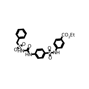 CCOC(=O)c1ccc(NS(=O)(=O)c2ccc(NC(=O)NS(=O)(=O)Cc3ccccc3)cc2)cc1